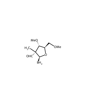 B[C@@H]1O[C@H](COC)[C@@H](OC)[C@@]1(C)C=O